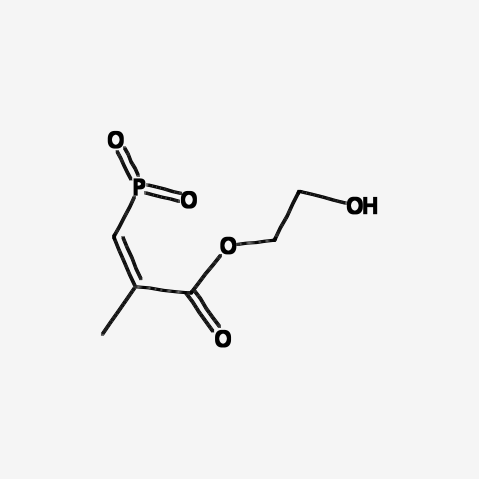 CC(=CP(=O)=O)C(=O)OCCO